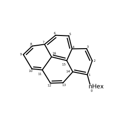 CCCCCCc1ccc2ccc3[c]ccc4ccc1c2c34